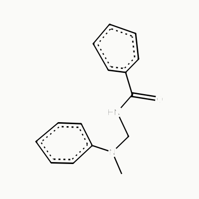 CN(CNC(=O)c1ccccc1)c1ccccc1